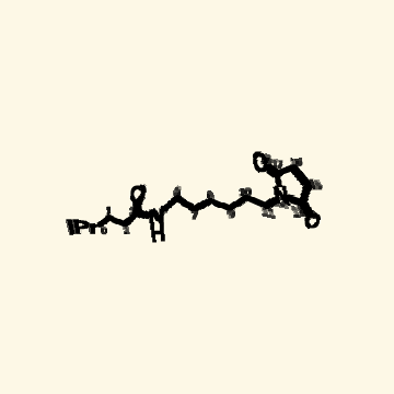 CC(C)CCC(=O)NCCCCCCN1C(=O)C=CC1=O